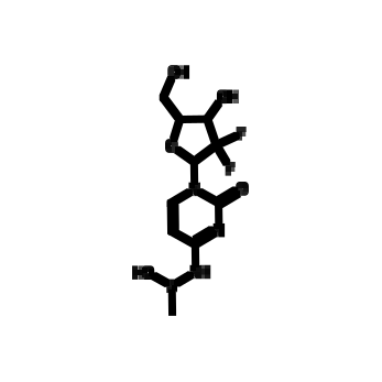 CB(O)Nc1ccn(C2OC(CO)C(O)C2(F)F)c(=O)n1